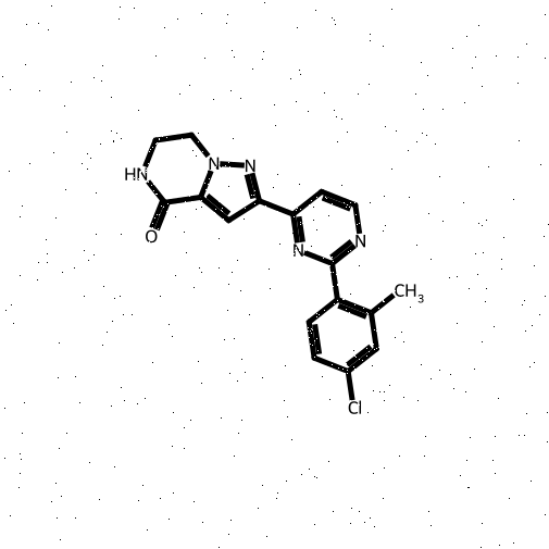 Cc1cc(Cl)ccc1-c1nccc(-c2cc3n(n2)CCNC3=O)n1